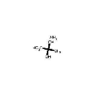 CC(O)(O)C(=O)O.[AlH3]